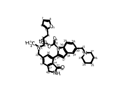 CN(CCCc1ccco1)Cc1cc2c(c(-c3cc4cc(CN5CCCCC5)ccc4n3C(=O)OC(C)(C)C)c1)C(=O)NC2